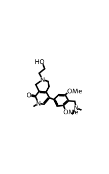 COc1cc(-c2cn(C)c(=O)c3c2CCN(CCO)C3)cc(OC)c1CN(C)C